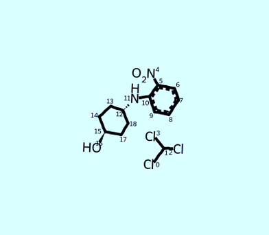 ClC(Cl)Cl.O=[N+]([O-])c1ccccc1N[C@H]1CC[C@H](O)CC1